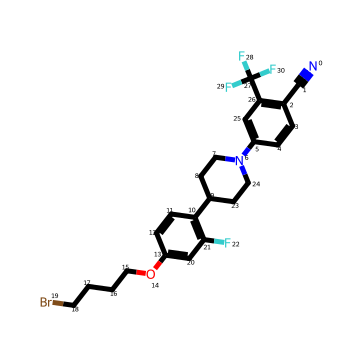 N#Cc1ccc(N2CCC(c3ccc(OCCCCBr)cc3F)CC2)cc1C(F)(F)F